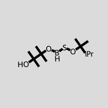 CC(C)C(C)(C)OSBOC(C)(C)C(C)(C)O